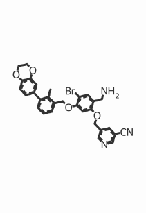 Cc1c(COc2cc(OCc3cncc(C#N)c3)c(CN)cc2Br)cccc1-c1ccc2c(c1)OCCO2